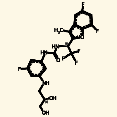 Cc1c([C@H](NC(=O)Nc2cc(F)cc(NC[C@@H](O)CO)c2)C(F)(F)F)oc2c(F)cc(F)cc12